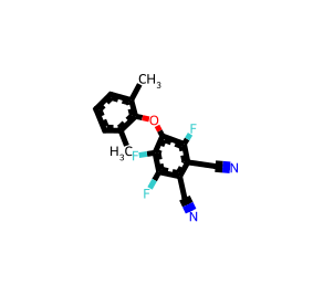 Cc1cccc(C)c1Oc1c(F)c(F)c(C#N)c(C#N)c1F